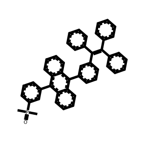 CP(C)(=O)c1cccc(-c2c3ccccc3c(-c3cccc(C(=C(c4ccccc4)c4ccccc4)c4ccccc4)c3)c3ccccc23)c1